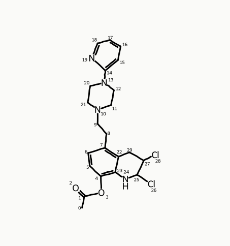 CC(=O)Oc1ccc(CCN2CCN(c3ccccn3)CC2)c2c1NC(Cl)C(Cl)C2